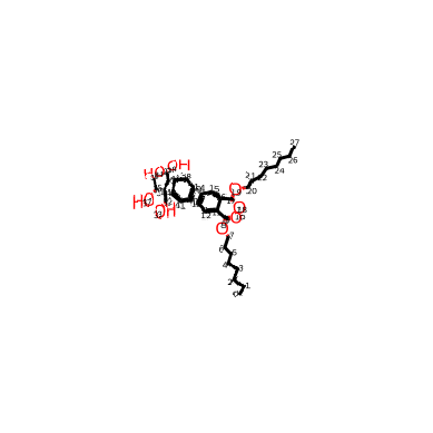 CCCCCCCCOC(=O)c1ccccc1C(=O)OCCCCCCCC.OCCCCO.OCCO.c1ccccc1